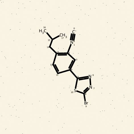 [C-]#[N+]c1cc(-c2nnc(Br)s2)ccc1CC(C)C